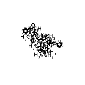 CCC(C)C(C(CC(=O)N1CCC[C@@H]1C(OC)C(C)C(=O)NC(Cc1ccccc1)C(=O)O)OC)N(C)C(=O)C(NC(=O)C(C(C)C)N(C)C(=O)O[C@@H]1CCC[C@H]1SSc1ccccn1)C(C)C